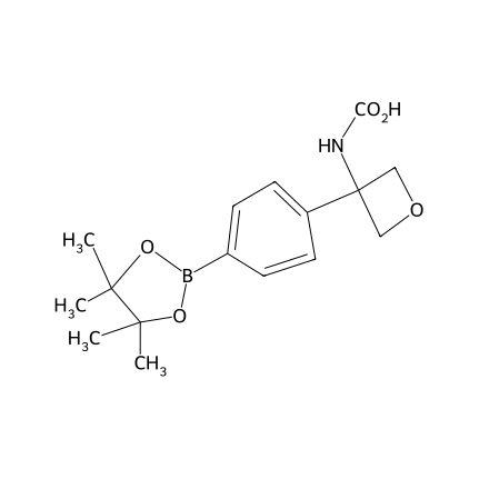 CC1(C)OB(c2ccc(C3(NC(=O)O)COC3)cc2)OC1(C)C